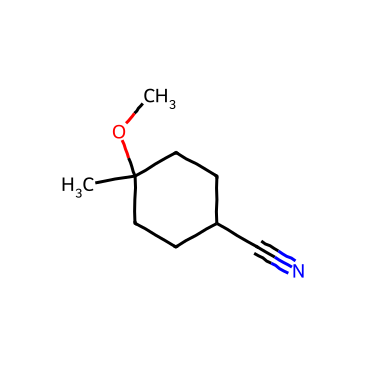 COC1(C)CCC(C#N)CC1